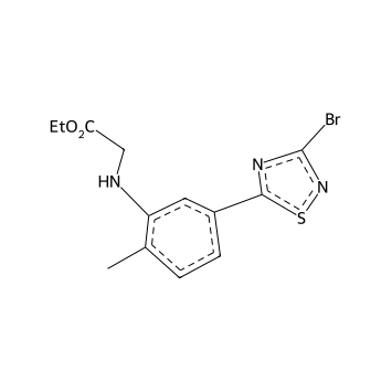 CCOC(=O)CNc1cc(-c2nc(Br)ns2)ccc1C